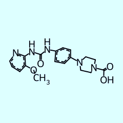 COc1cccnc1NC(=O)Nc1ccc(N2CCN(C(=O)O)CC2)cc1